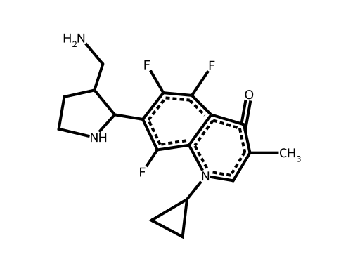 Cc1cn(C2CC2)c2c(F)c(C3NCCC3CN)c(F)c(F)c2c1=O